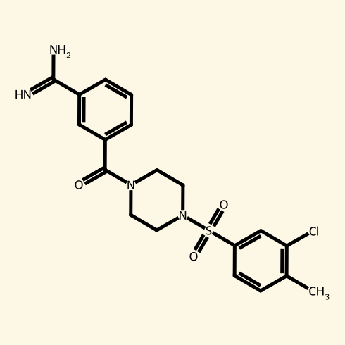 Cc1ccc(S(=O)(=O)N2CCN(C(=O)c3cccc(C(=N)N)c3)CC2)cc1Cl